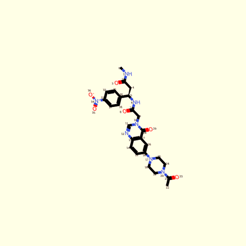 CNC(=O)C[C@@H](NC(=O)Cn1cnc2ccc(N3CCN(C(C)=O)CC3)cc2c1=O)c1ccc([N+](=O)[O-])cc1